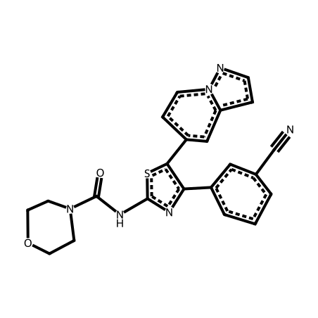 N#Cc1cccc(-c2nc(NC(=O)N3CCOCC3)sc2-c2ccn3nccc3c2)c1